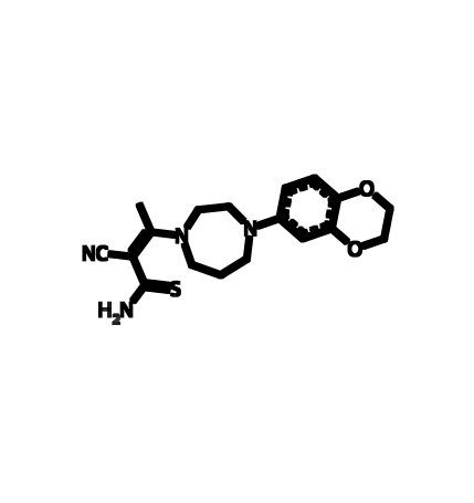 CC(=C(C#N)C(N)=S)N1CCCN(c2ccc3c(c2)OCCO3)CC1